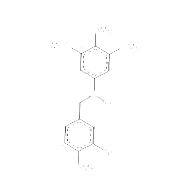 COc1ccc(C[S+]([O-])c2cc(OC)c(OC)c(OC)c2)cc1[N+](=O)[O-]